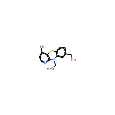 COCN1c2cc(CO)ccc2Sc2c(C#N)ccnc21